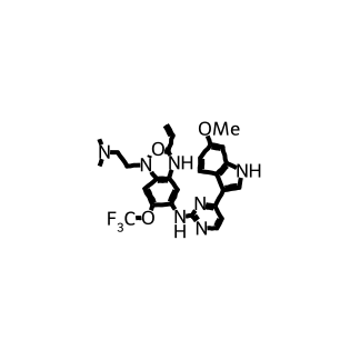 C=CC(=O)Nc1cc(Nc2nccc(-c3c[nH]c4cc(OC)ccc34)n2)c(OC(F)(F)F)cc1N(C)CCN(C)C